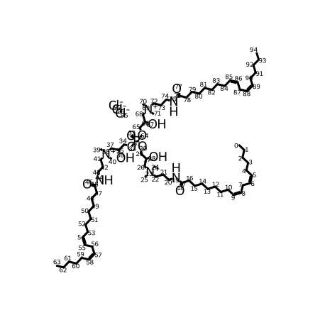 CCCCC/C=C\C/C=C\CCCCCCCC(=O)NCCC[N+](C)(C)CC(O)COP(=O)(OCC(O)C[N+](C)(C)CCCNC(=O)CCCCCCC/C=C\C/C=C\CCCCC)OCC(O)C[N+](C)(C)CCCNC(=O)CCCCCCC/C=C\C/C=C\CCCCC.[Cl-].[Cl-].[Cl-]